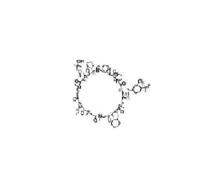 CC[C@H](C)[C@@H]1NC(=O)CCN(C)C(=O)[C@H](COCC(C)(C)O)N(C)C(=O)[C@H](C2CCCC2)N(C)C(=O)C2(CCCC2)NC(=O)[C@@H]2CCCN2C(=O)[C@H](CCc2ccc(C(F)(F)F)c(Cl)c2)NC(=O)CN(C)C(=O)[C@H](CC2CCCCC2)N(C)C(=O)CN(C)C(=O)CN(C)C1=O